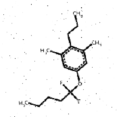 CCCCC(F)(F)Oc1cc(C)c(CCC)c(C)c1